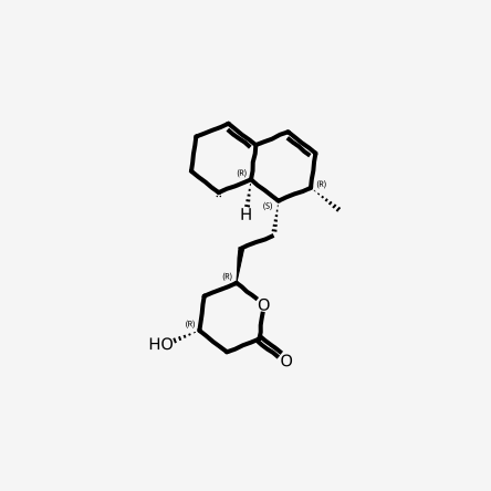 C[C@H]1C=CC2=CCC[C][C@@H]2[C@H]1CC[C@@H]1C[C@@H](O)CC(=O)O1